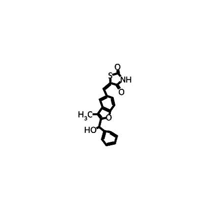 Cc1c(C(O)c2ccccc2)oc2ccc(C=C3SC(=O)NC3=O)cc12